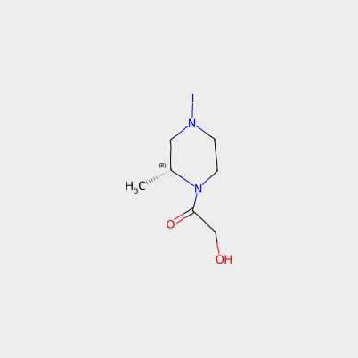 C[C@@H]1CN(I)CCN1C(=O)CO